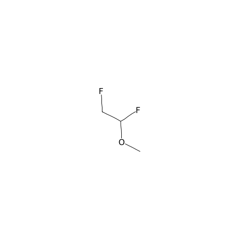 COC(F)CF